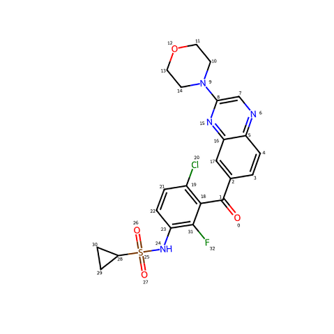 O=C(c1ccc2ncc(N3CCOCC3)nc2c1)c1c(Cl)ccc(NS(=O)(=O)C2CC2)c1F